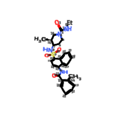 CCNC(=O)N1CC[C@@H](NS(=O)(=O)c2ccc(NC(=O)c3ccccc3C)c3ccccc23)[C@@H](C)C1